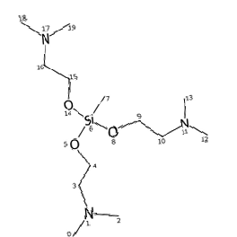 CN(C)CCO[Si](C)(OCCN(C)C)OCCN(C)C